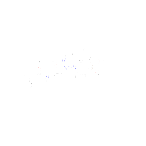 CC(C)C(=O)[N-]c1c[n+](N2CCS(=O)(=O)CC2(C)C)no1